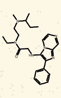 CCC(C)N(C)CCN(CC)C(=O)CNc1c(-c2ccccc2)nc2cnccn12